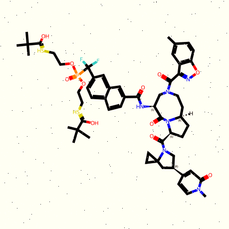 Cc1ccc2onc(C(=O)N3CC[C@H]4CC[C@@H](C(=O)N5C[C@@H](c6ccn(C)c(=O)c6)CC56CC6)N4C(=O)[C@@H](NC(=O)c4ccc5ccc(C(F)(F)P(=O)(OCC[SH]=C(O)C(C)(C)C)OCC[SH]=C(O)C(C)(C)C)cc5c4)C3)c2c1